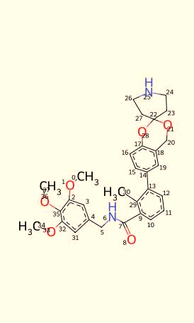 COc1cc(CNC(=O)c2cccc(-c3ccc4c(c3)COC3(CCNCC3)O4)c2C)cc(OC)c1OC